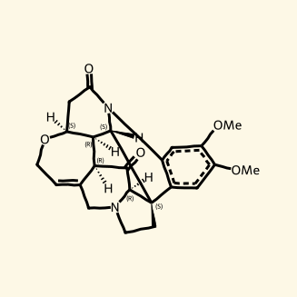 COc1cc2c(cc1OC)[C@@]13CCN4CC5=CCO[C@H]6CC(=O)N2[C@H]1[C@H]6[C@H]5C(=O)[C@H]43